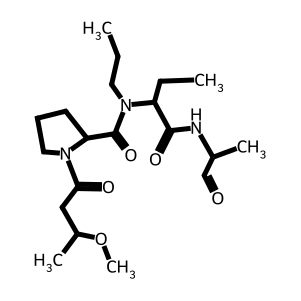 CCCN(C(=O)C1CCCN1C(=O)CC(C)OC)C(CC)C(=O)NC(C)C=O